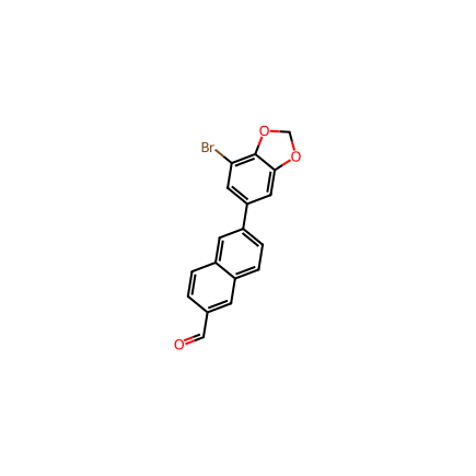 O=Cc1ccc2cc(-c3cc(Br)c4c(c3)OCO4)ccc2c1